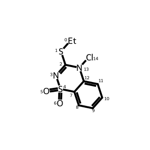 CCSC1=NS(=O)(=O)c2ccccc2N1Cl